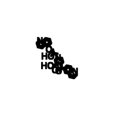 O=C(O)C1CN(C[C@@H](O)COc2cccc3ncccc23)CCN1C(=O)c1ccc2ncccc2c1